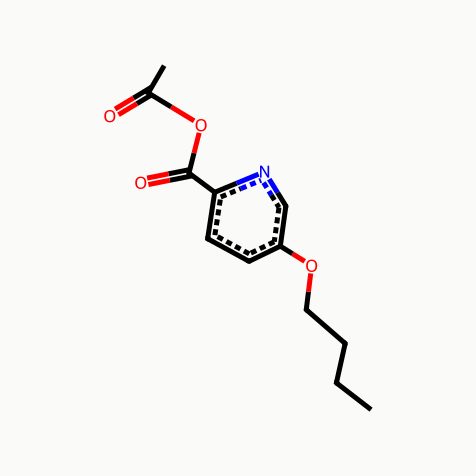 CCCCOc1ccc(C(=O)OC(C)=O)nc1